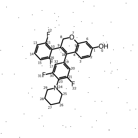 Oc1ccc2c(c1)OCC(c1c(F)cccc1F)=C2c1cc(F)c(N2CCCCC2)c(F)c1